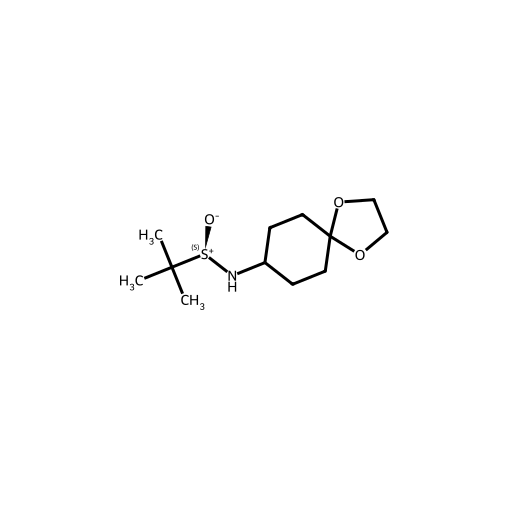 CC(C)(C)[S@@+]([O-])NC1CCC2(CC1)OCCO2